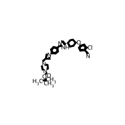 CC(C)(C)OC(=O)N1CCN(CC2CN(c3ccc(-c4ncc([C@H]5CC[C@H](Oc6ccc(C#N)c(Cl)c6)CC5)[nH]4)cc3)C2)CC1